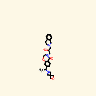 CC(c1ccc2c(c1)OCCN(CC(O)CN1CCc3ccccc3C1)C2=O)N1CC2(COC2)C1